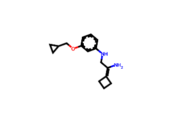 NC(CNc1cccc(OCC2CC2)c1)=C1CCC1